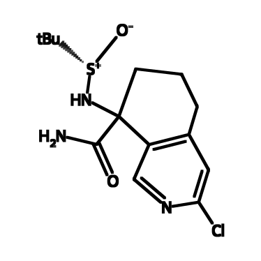 CC(C)(C)[S@+]([O-])NC1(C(N)=O)CCCc2cc(Cl)ncc21